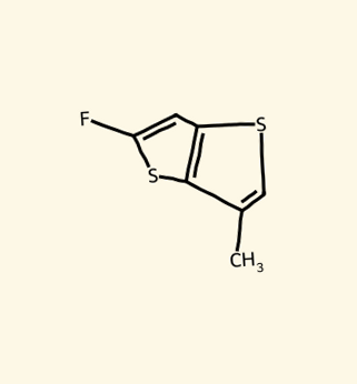 Cc1csc2cc(F)sc12